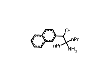 CCCC(N)(CCC)C([O])c1ccc2ccccc2c1